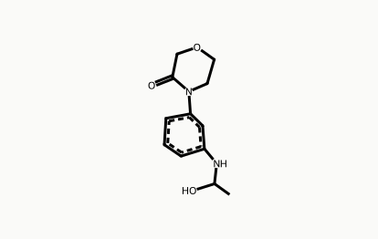 CC(O)Nc1cccc(N2CCOCC2=O)c1